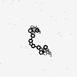 CC1(C)CCCC2c3cc(-c4ccc5c(c4)-c4cc(-c6ccc7c(c6)C6CCCC(C)(C)C6(C)N7c6ccccc6)ccc4C5)ccc3N(c3ccccc3)C21C